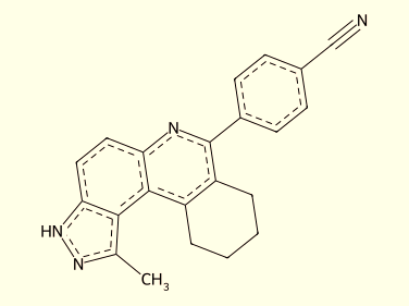 Cc1n[nH]c2ccc3nc(-c4ccc(C#N)cc4)c4c(c3c12)CCCC4